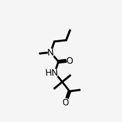 CCCN(C)C(=O)NC(C)(C)C(C)=O